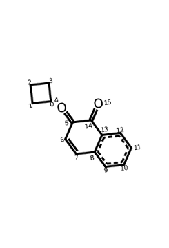 C1CCC1.O=C1C=Cc2ccccc2C1=O